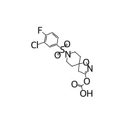 O=C(O)OC1=NOC2(CCN(S(=O)(=O)c3ccc(F)c(Cl)c3)CC2)C1